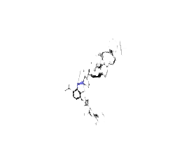 C=N/C(=C\c1c(C(C)C)ccc(N2C[C@H](CS(C)(=O)=O)[C@H]2C)c1C)Nc1ccnc(N2CC[C@H](O)C[C@H]2C)n1